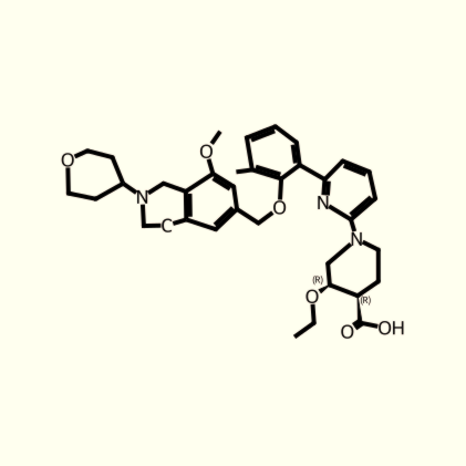 CCO[C@H]1CN(c2cccc(-c3cccc(C)c3OCc3cc4c(c(OC)c3)CN(C3CCOCC3)CC4)n2)CC[C@H]1C(=O)O